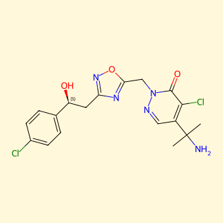 CC(C)(N)c1cnn(Cc2nc(C[C@H](O)c3ccc(Cl)cc3)no2)c(=O)c1Cl